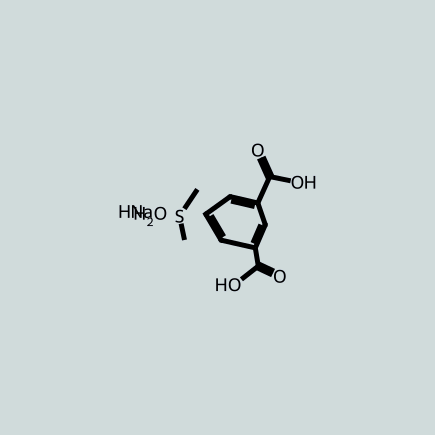 CSC.O.O=C(O)c1cccc(C(=O)O)c1.[NaH]